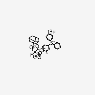 CC(C)(C)c1ccc([S+](c2ccccc2)c2ccccc2)cc1.O=C(OC(C(F)(F)F)C(F)(F)S(=O)(=O)[O-])C12CC3CC(CC(C3)C1)C2